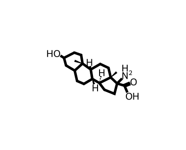 C[C@]12CCC(O)CC1CC[C@@H]1[C@H]2CC[C@@]2(C)[C@H]1CCC2(N)C(=O)O